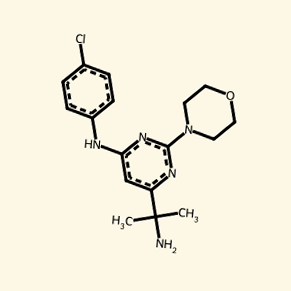 CC(C)(N)c1cc(Nc2ccc(Cl)cc2)nc(N2CCOCC2)n1